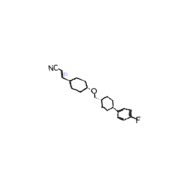 N#C/C=C/[C@H]1CC[C@H](OC[C@H]2CC[C@H](c3ccc(F)cc3)CC2)CC1